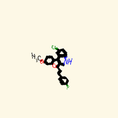 COc1ccc(C2=C(C(=O)/C=C/c3ccc(F)cc3)CNc3ccc(Cl)cc32)cc1